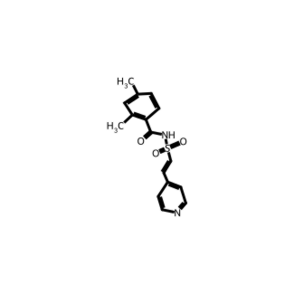 Cc1ccc(C(=O)NS(=O)(=O)C=Cc2ccncc2)c(C)c1